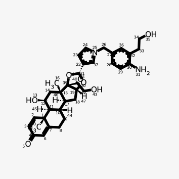 C[C@]12C=CC(=O)C=C1CC[C@@H]1[C@@H]2[C@@H](O)C[C@@]2(C)[C@H]1C[C@H]1O[C@@H](c3ccn(Cc4ccc(N)c(CCO)c4)c3)O[C@]12C(=O)CO